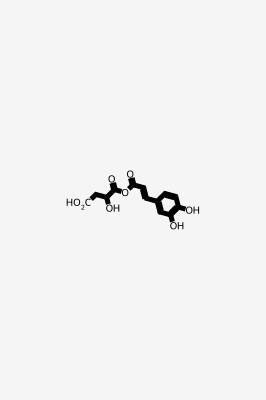 O=C(O)CC(O)C(=O)OC(=O)C=Cc1ccc(O)c(O)c1